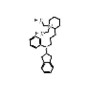 CC[N+]1(CC)CCCCC1CCCN(c1ccccc1)C1Cc2ccccc2C1